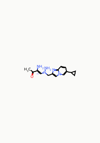 CC(=O)/C(N)=C/N(N)Cc1cn2cc(C3CC3)ccc2n1